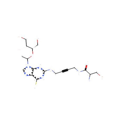 CC(O[C@H](CO)[C@H](O)CO)n1cnc2c(S)nc(NCC#CCNC(=O)C(N)CO)nc21